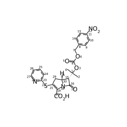 CC(C)(OC(=O)OCc1ccc([N+](=O)[O-])cc1)[C@@H]1C(=O)N2C(C(=O)O)=C(Sc3ccccn3)C[C@H]12